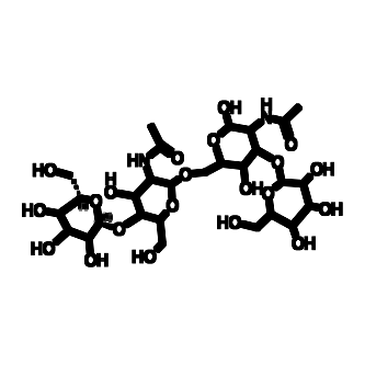 CC(=O)NC1C(OCC2OC(O)C(NC(C)=O)C(OC3OC(CO)C(O)C(O)C3O)C2O)OC(CO)C(O[C@@H]2O[C@@H](CO)C(O)C(O)C2O)C1O